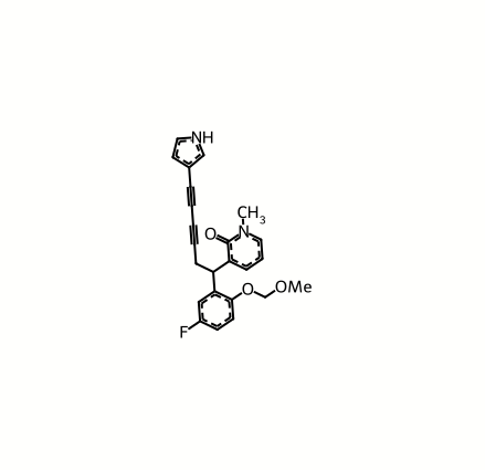 COCOc1ccc(F)cc1C(CC#CC#Cc1cc[nH]c1)c1cccn(C)c1=O